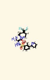 Cc1c(-c2ccccn2)cccc1S(=O)(=O)N[C@@H](CN)C(=O)N1CCC(=C(F)F)CC1